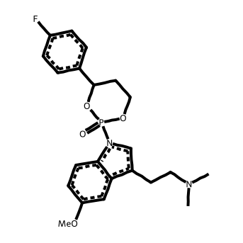 COc1ccc2c(c1)c(CCN(C)C)cn2P1(=O)OCCC(c2ccc(F)cc2)O1